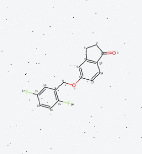 O=C1CCc2cc(OCc3cc(F)ccc3F)ccc21